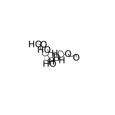 C[C@H](CCC(=O)O)[C@H]1CC[C@H]2[C@@H]3[C@H](O)C[C@@H]4C[C@H](OCC5CO5)CC[C@]4(C)[C@H]3C[C@H](O)[C@]12C